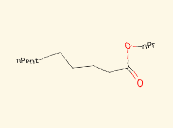 CCCCCCCCCC(=O)OCCC